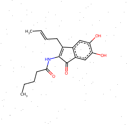 CC=CCC1=C(NC(=O)CCCC)C(=O)c2cc(O)c(O)cc21